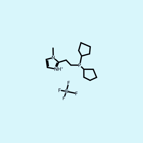 Cn1cc[nH+]c1CCP(C1CCCC1)C1CCCC1.F[B-](F)(F)F